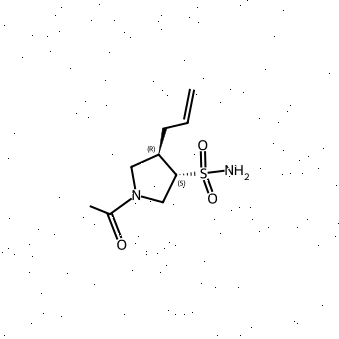 C=CC[C@@H]1CN(C(C)=O)C[C@H]1S(N)(=O)=O